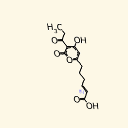 CCC(=O)c1c(O)cc(CCC/C=C/C(=O)O)oc1=O